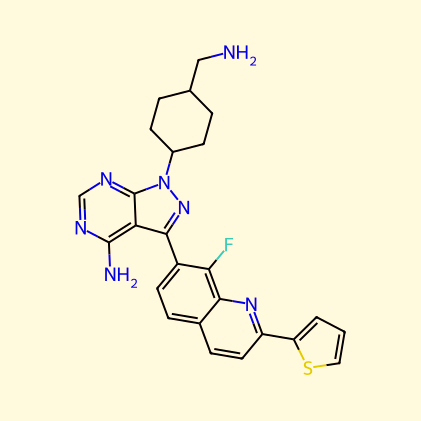 NCC1CCC(n2nc(-c3ccc4ccc(-c5cccs5)nc4c3F)c3c(N)ncnc32)CC1